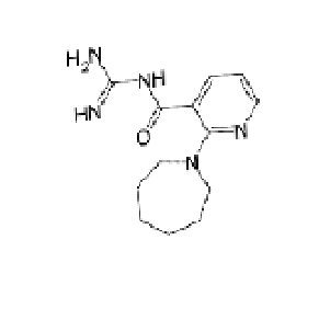 N=C(N)NC(=O)c1cccnc1N1CCCCCC1